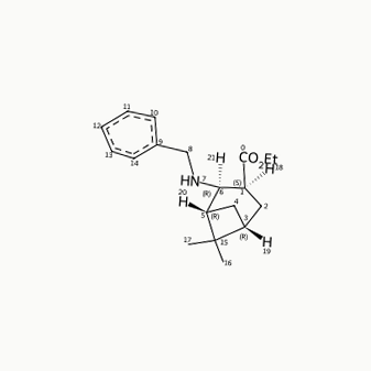 CCOC(=O)[C@H]1C[C@H]2C[C@@H]([C@H]1NCc1ccccc1)C2(C)C